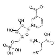 NC(CS)C(=O)O.O=C([O-])c1ccc[n+]([C@@H]2O[C@H](COP(=O)(O)O)[C@@H](O)[C@H]2O)c1